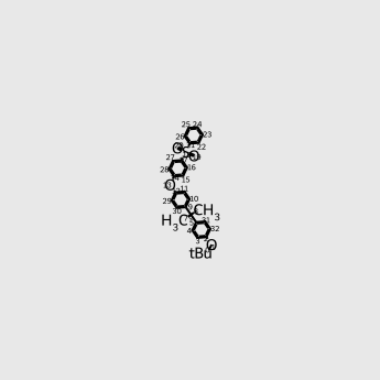 CC(C)(C)Oc1ccc(C(C)(C)c2ccc(Oc3ccc(S(=O)(=O)c4ccccc4)cc3)cc2)cc1